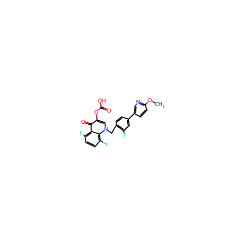 COc1ccc(-c2ccc(Cn3cc(OC(=O)O)c(=O)c4c(F)ccc(F)c43)c(F)c2)cn1